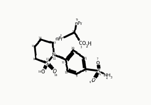 CCCC(CCC)C(=O)O.NS(=O)(=O)c1ccc(N2CCCCS2(=O)=O)cc1